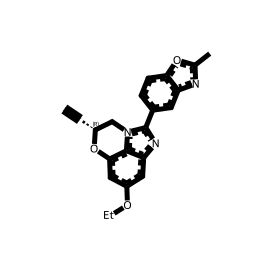 C#C[C@@H]1Cn2c(-c3ccc4oc(C)nc4c3)nc3cc(OCC)cc(c32)O1